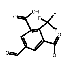 O=Cc1cc(C(=O)O)c(C(F)(F)F)c(C(=O)O)c1